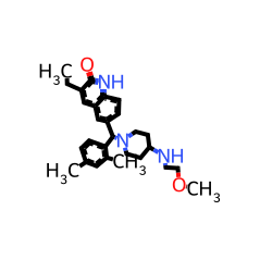 CCc1cc2cc(C(c3ccc(C)cc3C)N3CCC(NCCOC)CC3)ccc2[nH]c1=O